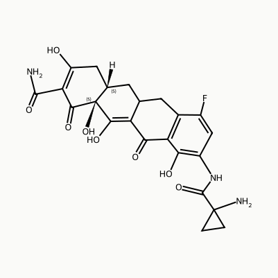 NC(=O)C1=C(O)C[C@@H]2CC3Cc4c(F)cc(NC(=O)C5(N)CC5)c(O)c4C(=O)C3=C(O)[C@]2(O)C1=O